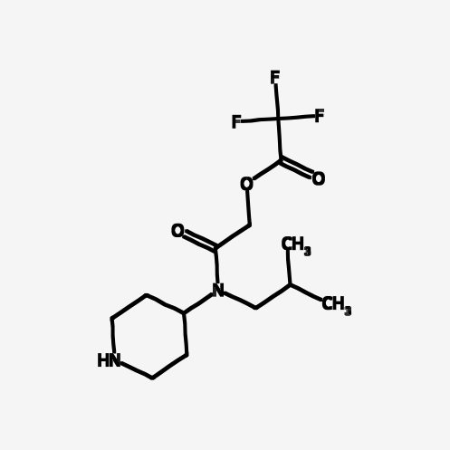 CC(C)CN(C(=O)COC(=O)C(F)(F)F)C1CCNCC1